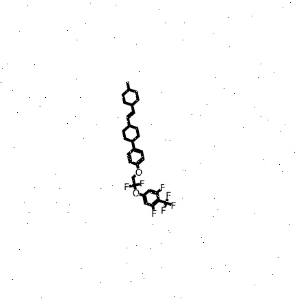 CC1CCC(/C=C/C2CCC(c3ccc(OCC(F)(F)Oc4cc(F)c(C(F)(F)F)c(F)c4)cc3)CC2)CC1